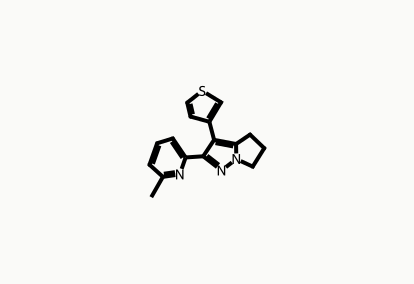 Cc1cccc(-c2nn3c(c2-c2ccsc2)CCC3)n1